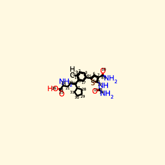 Cc1ccc(-c2cc(C(N)=O)c(NC(N)=O)s2)cc1C(=CCC(N)C(=O)O)C1CCCC1